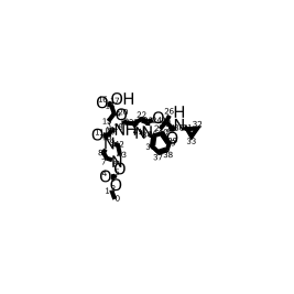 CCOC(=O)ON1CCN(C(=O)[C@H](CCC(=O)O)NC(=O)c2cc(OC(C)(C)C(=O)NC3CC3)n(-c3ccccc3)n2)CC1